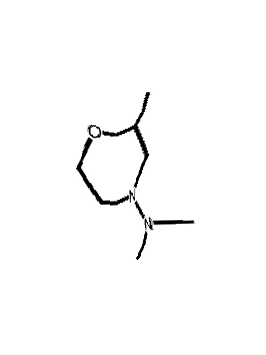 CC1CN(N(C)C)CCO1